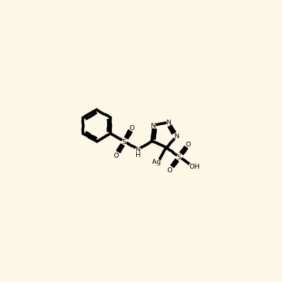 O=S(=O)(NC1=NN=N[C]1([Ag])S(=O)(=O)O)c1ccccc1